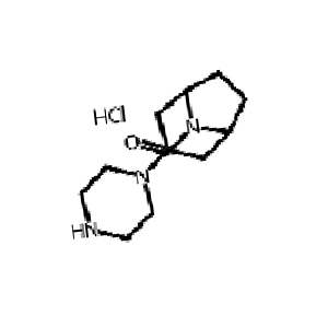 Cl.O=CN1C2CCC1CC(N1CCNCC1)C2